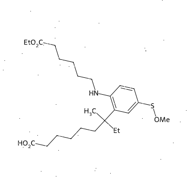 CCOC(=O)CCCCCNc1ccc(SOC)cc1C(C)(CC)CCCCCC(=O)O